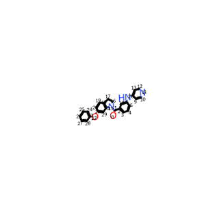 O=C(c1cccc(Nc2ccncc2)c1)N1CCc2ccc(Oc3ccccc3)cc21